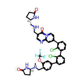 CN(Cc1ccc(-c2cccc(-c3cccc(-c4ccn5c(=O)c(CNC[C@@H]6CCC(=O)N6)cnc5c4)c3Cl)c2Cl)cc1OC(F)(F)F)[C@H]1CCC(=O)N1